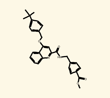 COC(=O)c1ccc(CNC(=O)c2cc(OCc3ccc(C(C)(C)C)cc3)c3ccccc3n2)cc1